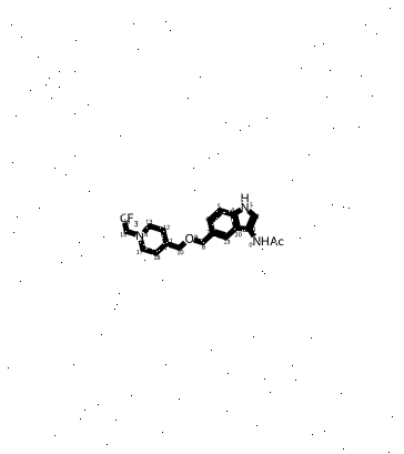 CC(=O)Nc1c[nH]c2ccc(COCC3CCN(CC(F)(F)F)CC3)cc12